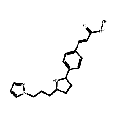 O=C(/C=C/c1ccc(C2CCC(CCCn3cccn3)N2)cc1)NO